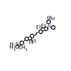 CCC1(CC)c2cc(/C=C/c3ccc4c(c3)C(CC)(CC)c3cc(N(c5ccccc5)c5ccc(C(C)(C)C)cc5)ccc3-4)ccc2-c2ccc(-c3ccc([Si](C)(C)C)cc3)cc21